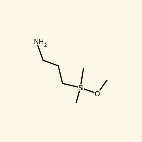 CO[Si](C)(C)CCCN